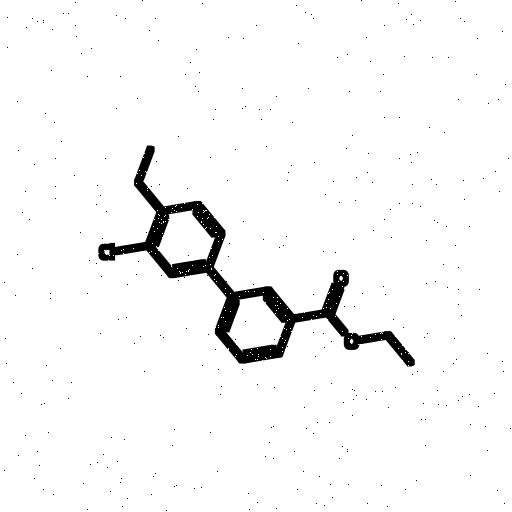 CCOC(=O)c1cccc(-c2ccc(CC)c(Cl)c2)c1